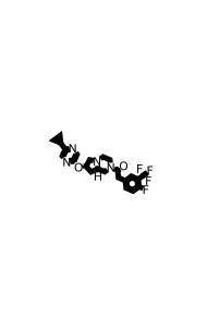 O=C(Cc1ccc(F)c(C(F)(F)F)c1)N1CCN2C[C@H](Oc3cnc(C4CC4)cn3)C[C@H]2C1